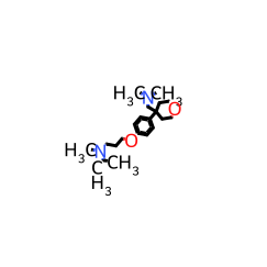 CC(C)N(C)CCCOc1ccc(C2(CN(C)C)CCOCC2)cc1